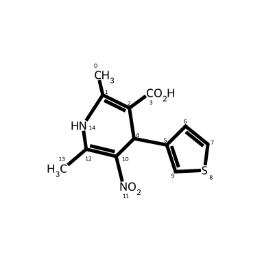 CC1=C(C(=O)O)C(c2ccsc2)C([N+](=O)[O-])=C(C)N1